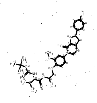 COc1cc(-n2cnc3c(c2=O)SC(c2ccc(Cl)cc2)C3)ccc1OCC(C)OC(=O)[C@@H](NC(=O)OC(C)(C)C)C(C)C